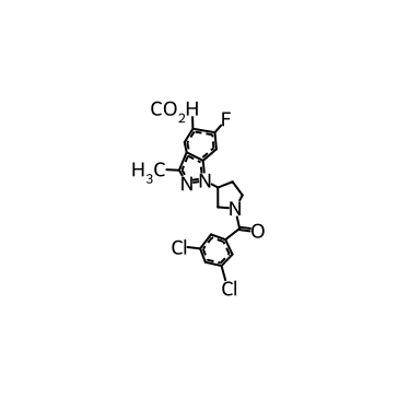 Cc1nn(C2CCN(C(=O)c3cc(Cl)cc(Cl)c3)C2)c2cc(F)c(C(=O)O)cc12